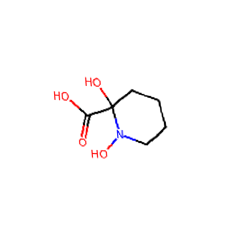 O=C(O)C1(O)CCCCN1O